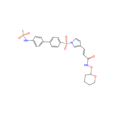 CS(=O)(=O)Nc1ccc(-c2ccc(S(=O)(=O)n3ccc(C=CC(=O)NOC4CCCCO4)c3)cc2)cc1